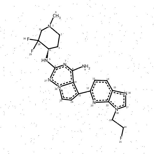 CN1CC[C@@H](Nc2nc(N)c3c(-c4ccc5ncn(CCF)c5n4)ccn3n2)C(F)(F)C1